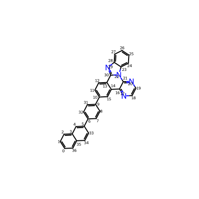 c1ccc2cc(-c3ccc(-c4ccc5c(c4)c4nccnc4n4c6ccccc6nc54)cc3)ccc2c1